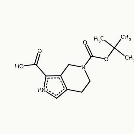 CC(C)(C)OC(=O)N1CCc2c[nH]c(C(=O)O)c2C1